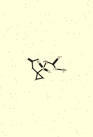 C=C(C)CC1(S(=O)(=O)NC(=O)OC(C)(C)C)CC1